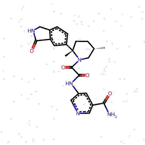 C[C@H]1CC[C@@](C)(c2ccc3c(c2)C(=O)NC3)N(C(=O)C(=O)Nc2cncc(C(N)=O)c2)C1